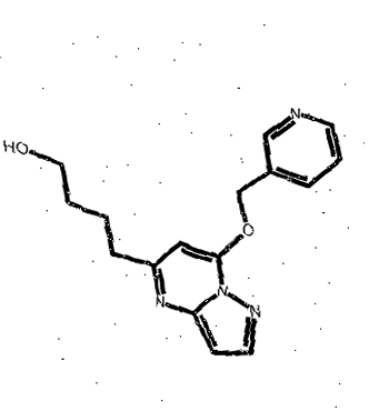 OCCCCc1cc(OCc2cccnc2)n2nccc2n1